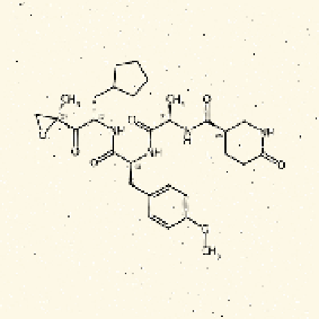 COc1ccc(C[C@H](NC(=O)[C@@H](C)NC(=O)[C@@H]2CCC(=O)NC2)C(=O)N[C@@H](CC2CCCC2)C(=O)[C@]2(C)CO2)cc1